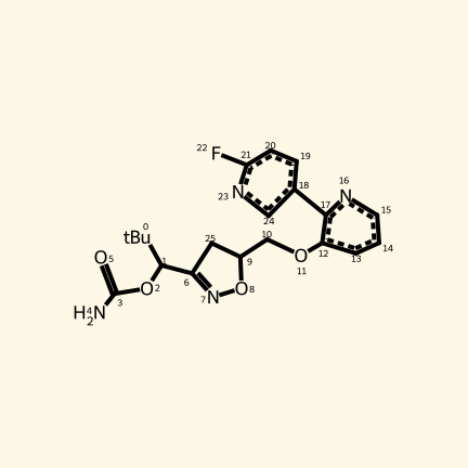 CC(C)(C)C(OC(N)=O)C1=NOC(COc2cccnc2-c2ccc(F)nc2)C1